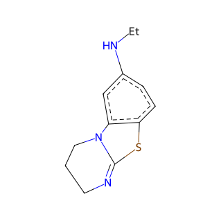 CCNc1ccc2c(c1)N1CCCN=C1S2